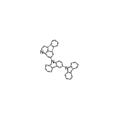 c1ccc2c(c1)-c1ccnc3cc(-n4c5ccccc5c5cc(-n6c7ccccc7c7ccccc76)ccc54)cc-2c13